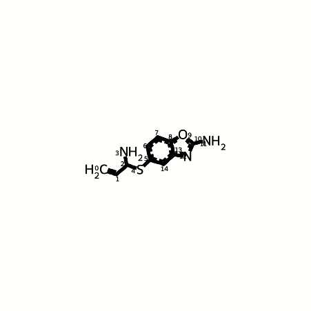 C=CC(N)Sc1ccc2oc(N)nc2c1